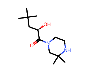 CC(C)(C)C[C@@H](O)C(=O)N1CCNC(C)(C)C1